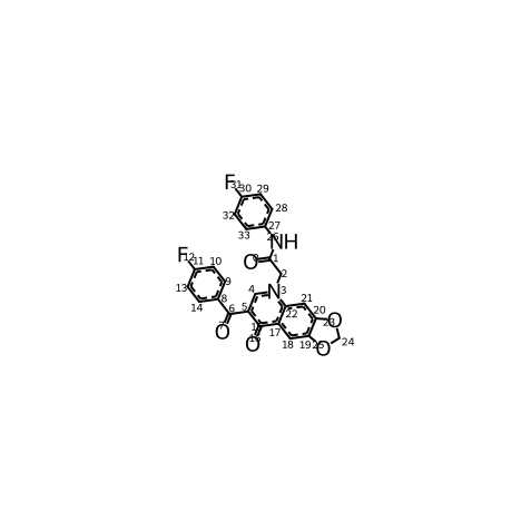 O=C(Cn1cc(C(=O)c2ccc(F)cc2)c(=O)c2cc3c(cc21)OCO3)Nc1ccc(F)cc1